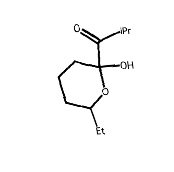 CCC1CCCC(O)(C(=O)C(C)C)O1